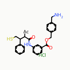 CC(=O)C(C(=O)Nc1cccc(C(=O)OCc2ccc(CN)cc2)c1)C(CS)c1ccccc1.Cl